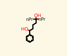 CCCC(O)(CCC)CCCC(O)c1ccccc1